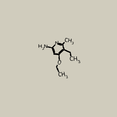 CCOc1cc(N)nc(C)c1CC